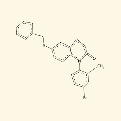 Cc1cc(Br)ccc1-n1c(=O)ccc2cc(SCc3ccccc3)ccc21